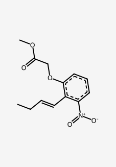 CCC=Cc1c(OCC(=O)OC)cccc1[N+](=O)[O-]